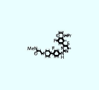 CNC(=O)CCN1CCC(c2ccc(Nc3ncc(F)c(-c4cc(F)c5c(c4)N(C(C)C)CCO5)n3)cc2F)CC1